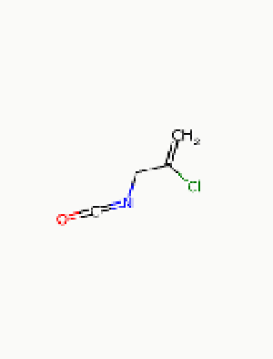 C=C(Cl)CN=C=O